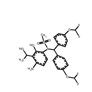 CC(O)c1c(N)ccc(N(C(c2ccc(OC(F)F)cc2)c2ccc(OC(F)F)cc2)S(C)(=O)=O)c1O